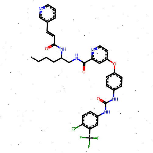 CCCCC(CNC(=O)c1cc(Oc2ccc(NC(=O)Nc3ccc(Cl)c(C(F)(F)F)c3)cc2)ccn1)NC(=O)C=Cc1cccnc1